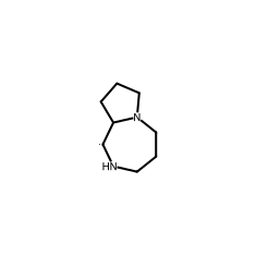 [CH]1NCCCN2CCCC12